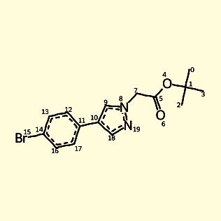 CC(C)(C)OC(=O)Cn1cc(-c2ccc(Br)cc2)cn1